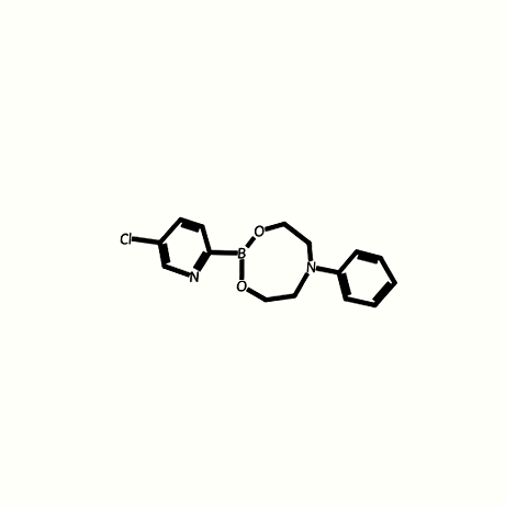 Clc1ccc(B2OCCN(c3ccccc3)CCO2)nc1